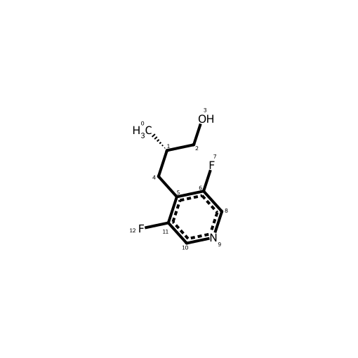 C[C@H](CO)Cc1c(F)cncc1F